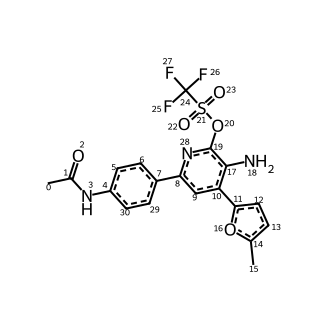 CC(=O)Nc1ccc(-c2cc(-c3ccc(C)o3)c(N)c(OS(=O)(=O)C(F)(F)F)n2)cc1